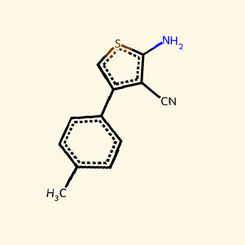 Cc1ccc(-c2csc(N)c2C#N)cc1